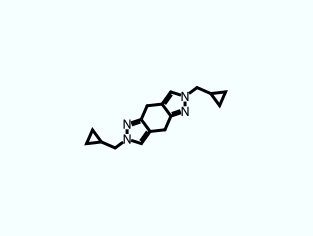 c1c2c(nn1CC1CC1)Cc1cn(CC3CC3)nc1C2